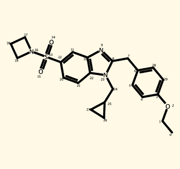 CCOc1ccc(Cc2nc3cc(S(=O)(=O)N4CCC4)ccc3n2CC2CC2)cc1